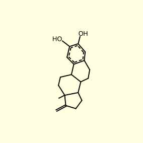 C=C1CCC2C3CCc4cc(O)c(O)cc4C3CCC12C